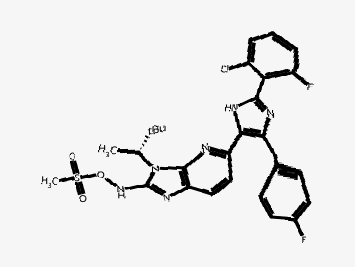 C[C@@H](n1c(NOS(C)(=O)=O)nc2ccc(-c3[nH]c(-c4c(F)cccc4Cl)nc3-c3ccc(F)cc3)nc21)C(C)(C)C